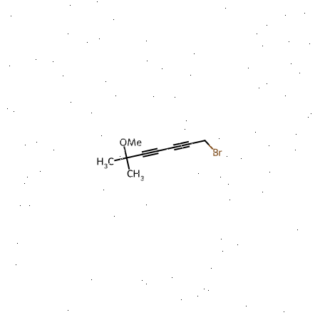 COC(C)(C)C#CC#CCBr